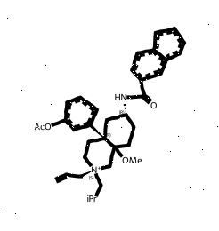 C=CC[N@@+]1(CC(C)C)CC[C@]2(c3cccc(OC(C)=O)c3)C[C@H](NC(=O)c3ccc4ccccc4c3)CCC2(OC)C1